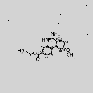 CCOC(=O)c1ccc(-c2cc(OC)ccc2C(=N)N)cc1